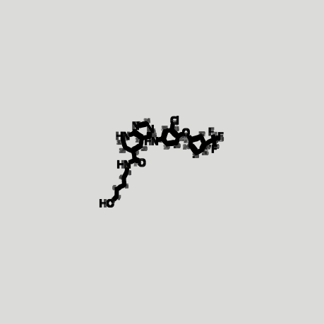 O=C(NCCCCCO)C1=Cc2c(ncnc2Nc2ccc(Oc3cccc(C(F)(F)F)c3)c(Cl)c2)NCC1